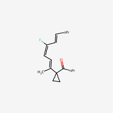 CCC/C=C/C(F)=C\C=C(/C)C1(C(=O)CCC)CC1